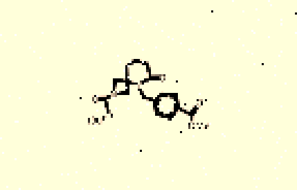 COC(=O)c1ccc(CN2C(=O)CCCC23CN(C(=O)OC(C)(C)C)C3)cc1